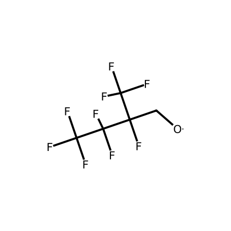 [O]CC(F)(C(F)(F)F)C(F)(F)C(F)(F)F